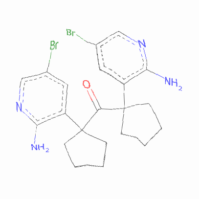 Nc1ncc(Br)cc1C1(C(=O)C2(c3cc(Br)cnc3N)CCCC2)CCCC1